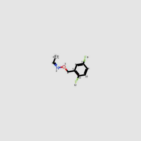 CC/[C]=N\OCc1cc(F)ccc1F